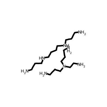 NCCCN(CCN)CCCN.NCCCNCCCCNCCCN